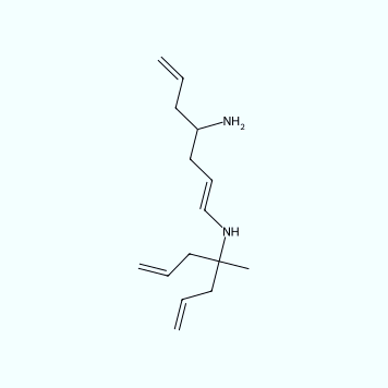 C=CCC(N)C/C=C/NC(C)(CC=C)CC=C